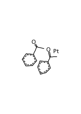 CC(=O)c1ccccc1.CC(=O)c1ccccc1.[Pt]